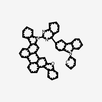 c1ccc(-n2c3ccccc3c3cc(-c4nc(-n5c6ccccc6c6c7cccc8c9cccc%10c%11c(cc(c(cc65)c87)c9%10)oc5ccccc5%11)nc5ccccc45)ccc32)cc1